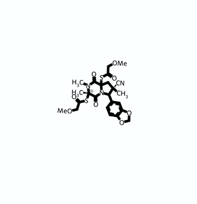 COCC(=O)SC12C[C@](C)(C#N)C(c3ccc4c(c3)OCO4)N1C(=O)[C@](C)(SC(=O)COC)N(C)C2=O